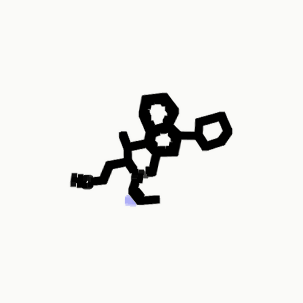 C/C=C\[N+]1=Cc2cc(C3CCCCC3)c3ccccc3c2C(C)C1CCO